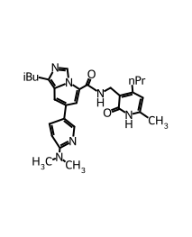 CCCc1cc(C)[nH]c(=O)c1CNC(=O)c1cc(-c2ccc(N(C)C)nc2)cc2c(C(C)CC)ncn12